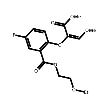 CCOCCOC(=O)c1cc(F)ccc1OC(=COC)C(=O)OC